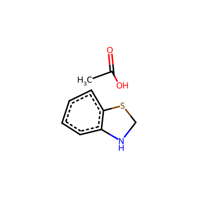 CC(=O)O.c1ccc2c(c1)NCS2